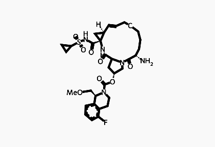 COC[C@@H]1c2cccc(F)c2CCN1C(=O)O[C@@H]1CC2C(=O)N[C@]3(C(=O)NS(=O)(=O)C4CC4)C[C@H]3/C=C/CCCCC[C@H](N)C(=O)N2C1